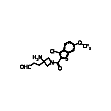 NC1(CCC=O)CN(C(=O)c2sc3cc(OC(F)(F)F)ccc3c2Cl)C1